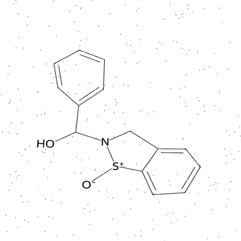 [O-][S+]1c2ccccc2CN1C(O)c1ccccc1